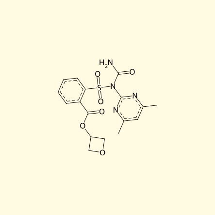 Cc1cc(C)nc(N(C(N)=O)S(=O)(=O)c2ccccc2C(=O)OC2COC2)n1